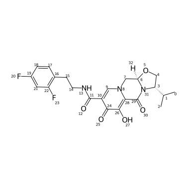 CC(C)[C@H]1CO[C@@H]2Cn3cc(C(=O)NCCc4ccc(F)cc4F)c(=O)c(O)c3C(=O)N12